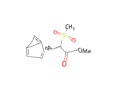 CCCC(C(=O)OC)S(C)(=O)=O.c1cc2cc-2c1